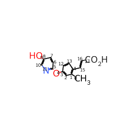 Cc1cc(Oc2ccc(O)cn2)ccc1C=CC(=O)O